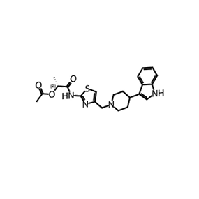 CC(=O)O[C@H](C)C(=O)Nc1nc(CN2CCC(c3c[nH]c4ccccc34)CC2)cs1